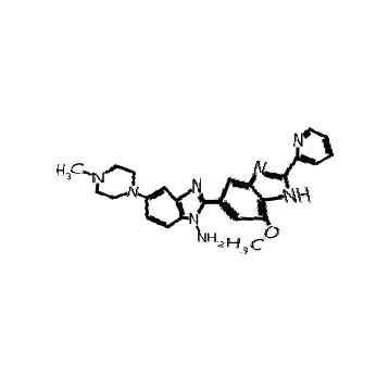 COc1cc(-c2nc3cc(N4CCN(C)CC4)ccc3n2N)cc2nc(-c3ccccn3)[nH]c12